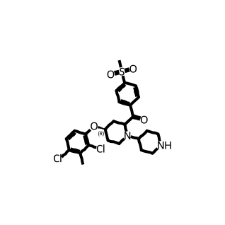 Cc1c(Cl)ccc(O[C@@H]2CCN(C3CCNCC3)C(C(=O)c3ccc(S(C)(=O)=O)cc3)C2)c1Cl